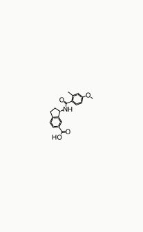 COc1ccc(C(=O)N[C@@H]2CCc3ccc(C(=O)O)cc32)c(C)c1